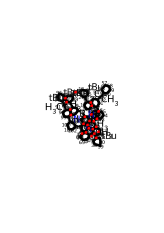 CC(C)(C)c1cc(-c2ccc3c(c2)B2c4cc(-c5cc(C(C)(C)C)cc(C(C)(C)C)c5)ccc4N(c4c(-c5cccc(C(C)(C)c6ccccc6)c5)cccc4-c4cccc(C(C)(C)c5ccccc5)c4)c4cc(-n5c6ccccc6c6cc(C(C)(C)C)ccc65)cc(c42)N3c2c(-c3ccc(C(C)(C)c4ccccc4)cc3)cccc2-c2cccc(C(C)(C)c3ccccc3)c2)cc(C(C)(C)C)c1